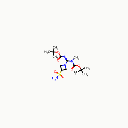 CN(C(=O)OC(C)(C)C)/C(=N/C(=O)OC(C)(C)C)N1CC(S(N)(=O)=O)C1